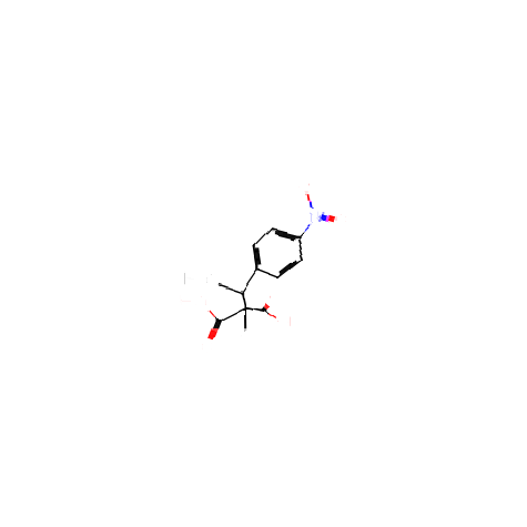 CC(c1ccc([N+](=O)[O-])cc1)C(C)(C(=O)O)C(=O)O